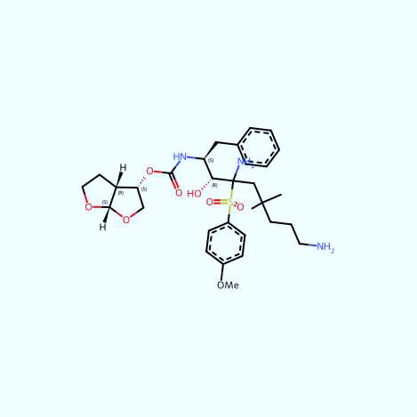 COc1ccc(S(=O)(=O)C(N)(CC(C)(C)CCCN)[C@H](O)[C@H](Cc2ccccc2)NC(=O)O[C@@H]2CO[C@@H]3OCC[C@@H]32)cc1